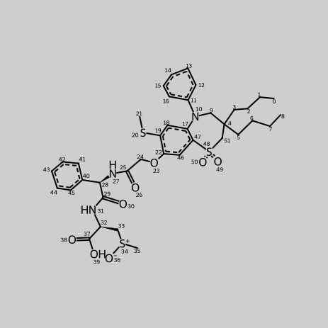 CCCCC1(CCCC)CN(c2ccccc2)c2cc(SC)c(OCC(=O)N[C@@H](C(=O)N[C@@H](C[S+](C)[O-])C(=O)O)c3ccccc3)cc2S(=O)(=O)C1